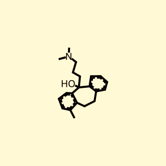 Cc1cccc2c1CCc1ccccc1C2(O)CCCN(C)C